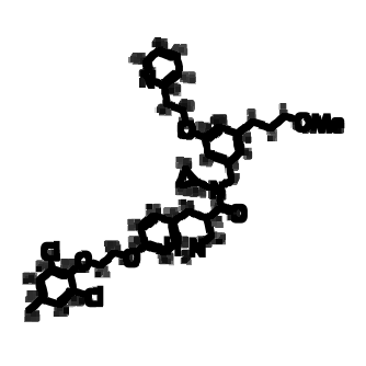 COCCCc1cc(CN(C(=O)C(CN)Cc2ccc(OCCOc3c(Cl)cc(C)cc3Cl)cc2)C2CC2)cc(OCCc2ccccn2)c1